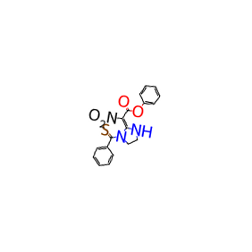 O=C(Oc1ccccc1)C(=C1NCCN1C(=S)c1ccccc1)[N+](=O)[O-]